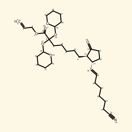 C=CCOC(=O)C(CCCCC[C@H]1C(=O)CC[C@@H]1C=CCCCCCC#N)(OC1CCCCO1)OC1CCCCO1